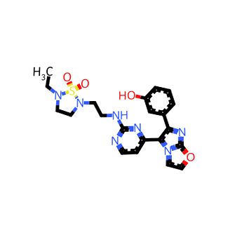 CCN1CCN(CCNc2nccc(-c3c(-c4cccc(O)c4)nc4occn34)n2)S1(=O)=O